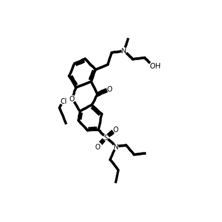 CCCN(CCC)S(=O)(=O)c1ccc2oc3cccc(CCN(C)CCO)c3c(=O)c2c1.CCCl